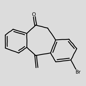 C=C1c2cc(Br)ccc2CC(=O)c2ccccc21